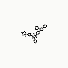 Cc1ccc(-c2ccc(-c3nc(-c4ccccc4)nc(-c4ccc(-c5ccc(-c6ccccc6)cc5-c5ccccc5)cc4)n3)cc2)c(C)n1